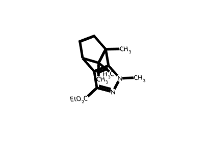 CCOC(=O)c1nn(C)c2c1C1CCC2(C)C1(C)C